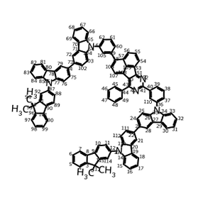 CC1(C)c2ccccc2-c2ccc(-n3c4ccccc4c4cc(-c5ccc6c(c5)c5ccccc5n6-c5cccc(-c6nc(-c7ccccc7)c7c(n6)-c6cccc8c(-c9cccc(-n%10c%11ccccc%11c%11cc(-c%12ccc%13c(c%12)c%12ccccc%12n%13-c%12ccc%13c(c%12)C(C)(C)c%12ccccc%12-%13)ccc%11%10)c9)ccc-7c68)c5)ccc43)cc21